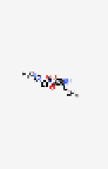 CCCc1n[nH]c2cc(O)c(C(=O)N(C)c3cccc(N4CCN(C)CC4)c3)cc12